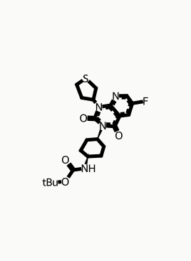 CC(C)(C)OC(=O)N[C@H]1CC[C@@H](n2c(=O)c3cc(F)cnc3n(C3CCSC3)c2=O)CC1